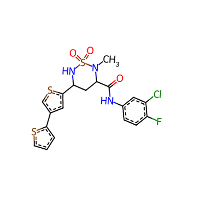 CN1C(C(=O)Nc2ccc(F)c(Cl)c2)CC(c2cc(-c3cccs3)cs2)NS1(=O)=O